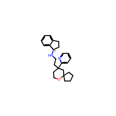 c1ccc(C2(CCN[C@@H]3CCc4ccccc43)CCOC3(CCCC3)C2)nc1